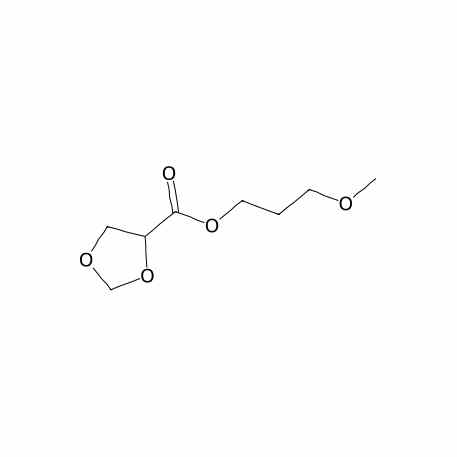 COCCCOC(=O)C1COCO1